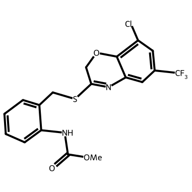 COC(=O)Nc1ccccc1CSC1=Nc2cc(C(F)(F)F)cc(Cl)c2OC1